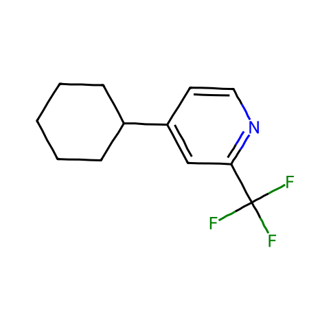 FC(F)(F)c1cc(C2CCCCC2)ccn1